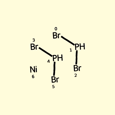 BrPBr.BrPBr.[Ni]